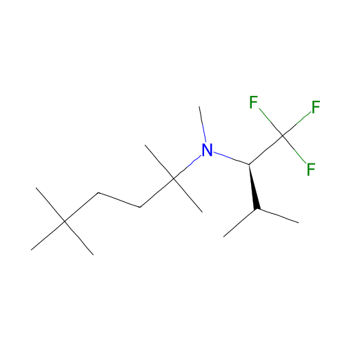 CC(C)[C@@H](N(C)C(C)(C)CCC(C)(C)C)C(F)(F)F